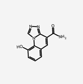 NC(=O)c1cc2cccc(O)c2n2cnnc12